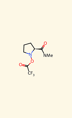 CNC(=O)[C@@H]1CCCN1OC(=O)C(F)(F)F